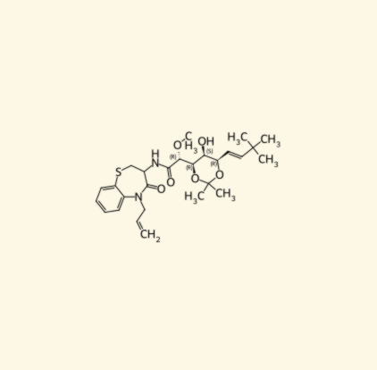 C=CCN1C(=O)C(NC(=O)[C@H](OC)[C@@H]2OC(C)(C)O[C@H](C=CC(C)(C)C)[C@@H]2O)CSc2ccccc21